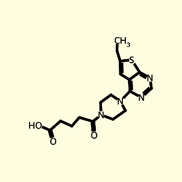 CCc1cc2c(N3CCN(C(=O)CCCC(=O)O)CC3)ncnc2s1